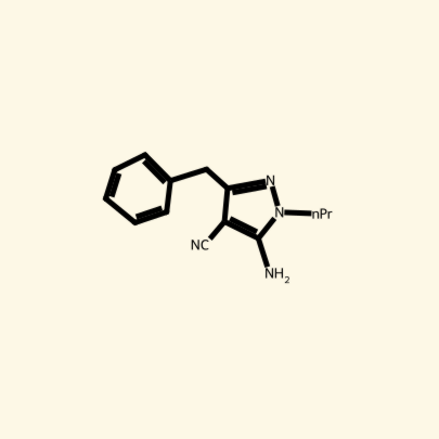 CCCn1nc(Cc2ccccc2)c(C#N)c1N